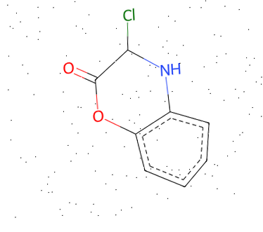 O=C1Oc2ccccc2NC1Cl